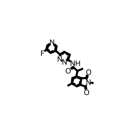 Cc1cc2c(c(C(C)C(=O)Nc3ccc(-c4cncc(F)c4)nn3)c1)C(=O)N(C)C2=O